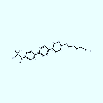 CCCCCCCC1CCC(c2ccc(-c3ccc(C(F)C(C)(F)F)cc3)cc2)CC1